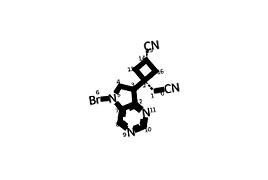 N#CC[C@]1(C2CN(Br)c3cncnc32)C[C@H](C#N)C1